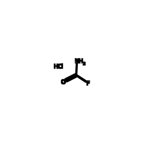 Cl.NC(=O)F